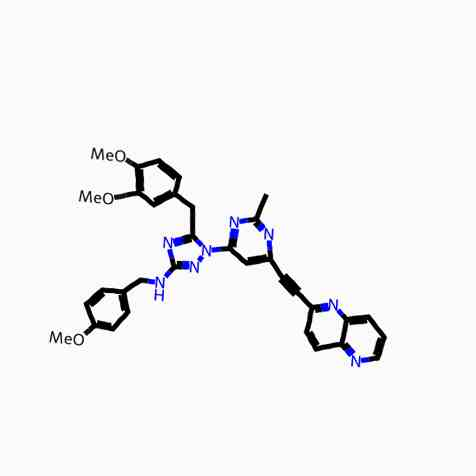 COc1ccc(CNc2nc(Cc3ccc(OC)c(OC)c3)n(-c3cc(C#Cc4ccc5ncccc5n4)nc(C)n3)n2)cc1